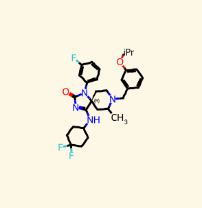 CC(C)Oc1cccc(CN2CC[C@@]3(CC2C)C(NC2CCC(F)(F)CC2)=NC(=O)N3c2cccc(F)c2)c1